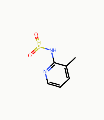 Cc1cccnc1N[SH](=O)=O